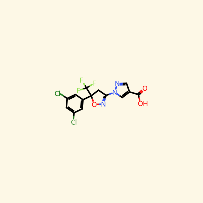 O=C(O)c1cnn(C2=NOC(c3cc(Cl)cc(Cl)c3)(C(F)(F)F)C2)c1